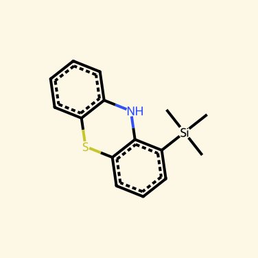 C[Si](C)(C)c1cccc2c1Nc1ccccc1S2